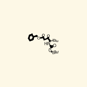 CCC(C)[C@H](NC(=O)OC(C)(C)C)C(=O)CC(=O)OCc1ccccc1